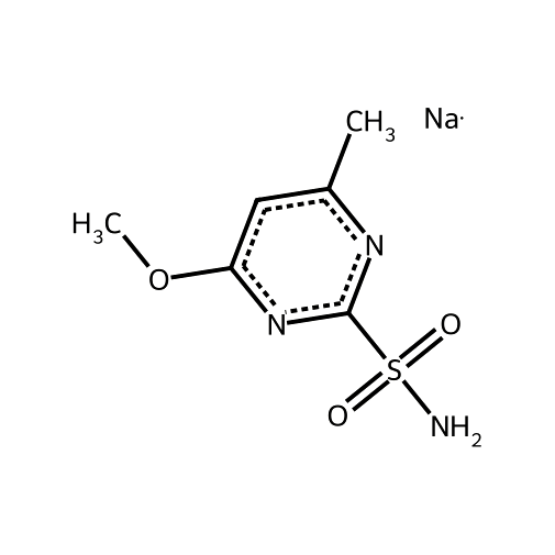 COc1cc(C)nc(S(N)(=O)=O)n1.[Na]